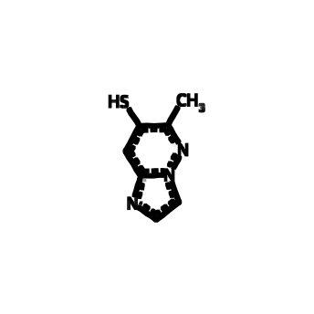 Cc1nn2ccnc2cc1S